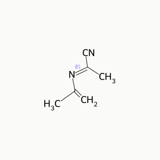 C=C(C)/N=C(\C)C#N